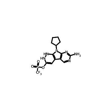 Nc1ncc2c3c(n(C4CCCC4)c2n1)NNC(OS(=O)(=O)C(F)(F)F)=C3